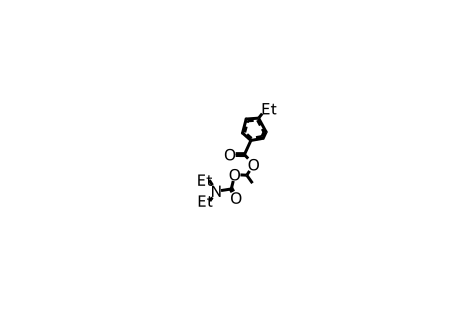 CCc1ccc(C(=O)OC(C)OC(=O)N(CC)CC)cc1